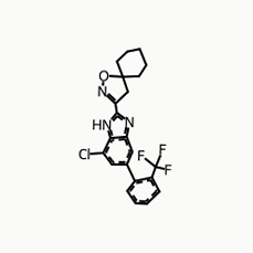 FC(F)(F)c1ccccc1-c1cc(Cl)c2[nH]c(C3=NOC4(CCCCC4)C3)nc2c1